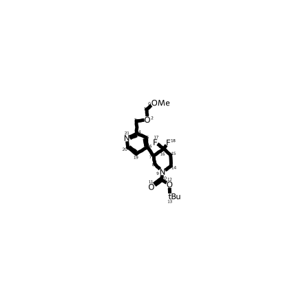 COCOCc1cc(C2CN(C(=O)OC(C)(C)C)CCC2(F)F)ccn1